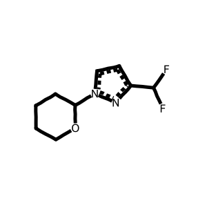 FC(F)c1ccn(C2CCCCO2)n1